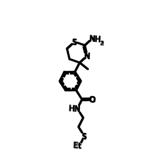 CCSCCNC(=O)c1cccc(C2(C)CCSC(N)=N2)c1